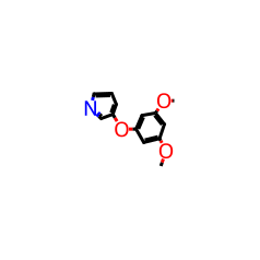 COc1cc(OC)cc(Oc2cccnc2)c1